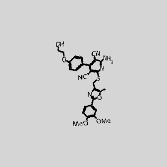 COc1ccc(-c2nc(CSc3nc(N)c(C#N)c(-c4ccc(OCCO)cc4)c3C#N)c(C)o2)cc1OC